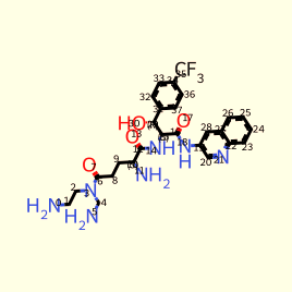 NCCN(CN)C(=O)CC[C@H](N)C(=O)N[C@H](C(=O)Nc1cnc2ccccc2c1)[C@H](O)c1ccc(C(F)(F)F)cc1